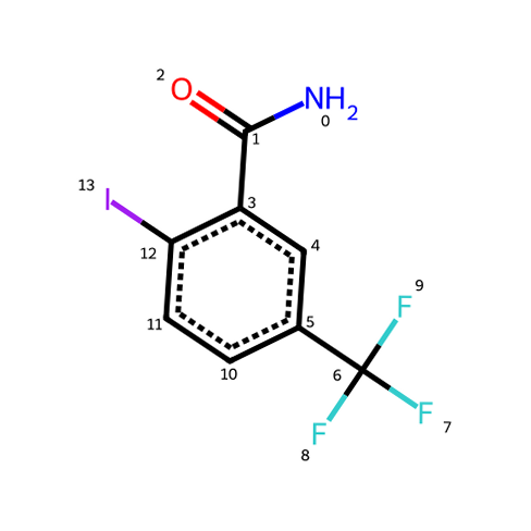 NC(=O)c1cc(C(F)(F)F)ccc1I